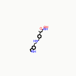 C/C(=C\C(=O)NO)c1ccc(CNCCc2ccc3[nH]ccc3c2)cc1